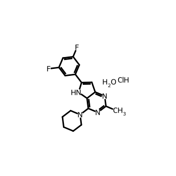 Cc1nc(N2CCCCC2)c2[nH]c(-c3cc(F)cc(F)c3)cc2n1.Cl.O